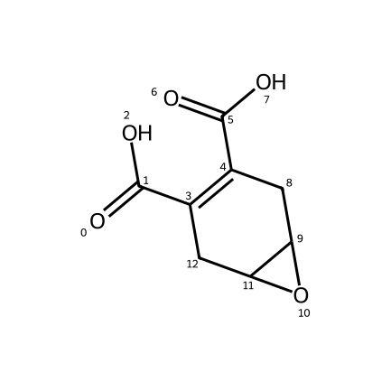 O=C(O)C1=C(C(=O)O)CC2OC2C1